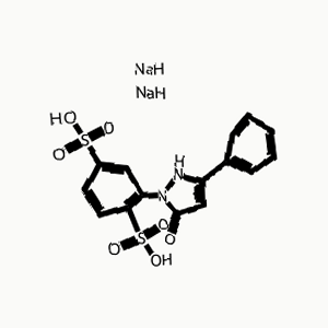 O=c1cc(-c2ccccc2)[nH]n1-c1cc(S(=O)(=O)O)ccc1S(=O)(=O)O.[NaH].[NaH]